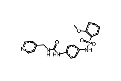 COc1ccccc1S(=O)(=O)Nc1ccc(NC(=O)NCc2ccncc2)cc1